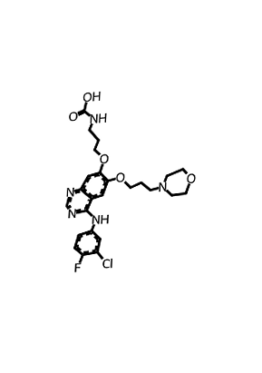 O=C(O)NCCCOc1cc2ncnc(Nc3ccc(F)c(Cl)c3)c2cc1OCCCN1CCOCC1